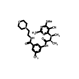 CSc1nc(N)nc(N(C)[C@@H](C)C(=O)Nc2cc(C(=O)NCCN3CCOCC3)cc(C(F)(F)F)c2)c1C#N